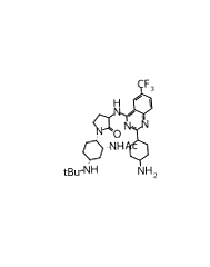 CC(=O)N[C@@H]1C[C@H](NC(C)(C)C)CC[C@@H]1N1CCC(Nc2nc(C3CCC(N)CC3)nc3ccc(C(F)(F)F)cc23)C1=O